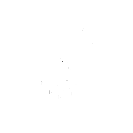 COC(=O)c1ccc(C(=O)N[C@H]2CC[C@@H](N(C)c3cccc4nc(C(F)(F)F)cn34)CC2)cc1